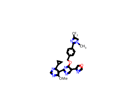 COc1ncnc(C2CC2)c1-c1ncc(-c2cocn2)c(OCc2ccc(-c3nc(C(F)(F)F)cn3C)cc2)n1